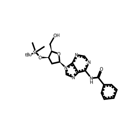 CC(C)(C)[Si](C)(C)O[C@@H]1C[C@H](n2cnc3c(NC(=O)c4ccccc4)ncnc32)O[C@@H]1CO